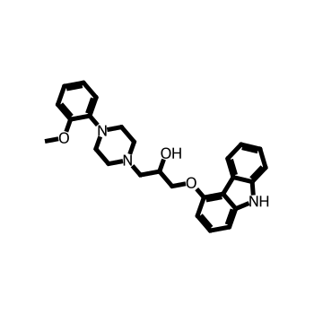 COc1ccccc1N1CCN(CC(O)COc2cccc3[nH]c4ccccc4c23)CC1